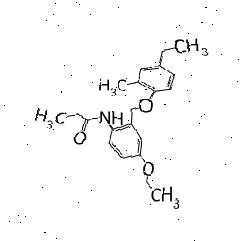 CCOc1ccc(NC(=O)CC)c(COc2ccc(CC)cc2C)c1